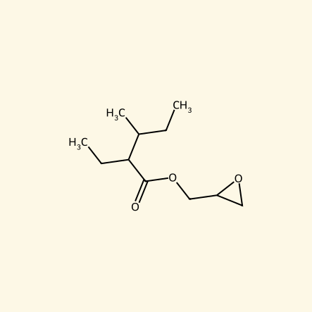 CCC(C)C(CC)C(=O)OCC1CO1